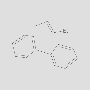 C/C=C/CC.c1ccc(-c2ccccc2)cc1